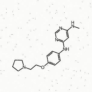 CNc1cc(Nc2ccc(OCCN3CCCC3)cc2)ncn1